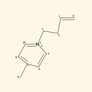 C=CCC[n+]1ccc(C)cc1